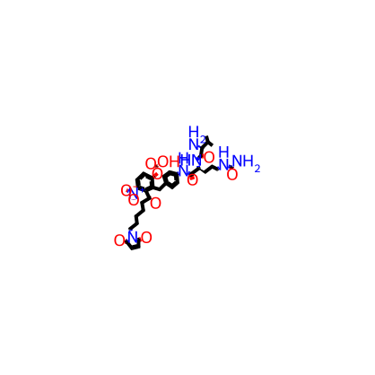 CC(C)[C@H](N)C(=O)N[C@@H](CCCNC(N)=O)C(=O)Nc1ccc(Cc2c(OC(=O)O)ccc([N+](=O)[O-])c2C(=O)CCCCCN2C(=O)C=CC2=O)cc1